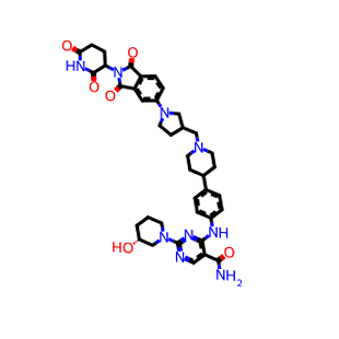 NC(=O)c1cnc(N2CCC[C@@H](O)C2)nc1Nc1ccc(C2CCN(CC3CCN(c4ccc5c(c4)C(=O)N(C4CCC(=O)NC4=O)C5=O)C3)CC2)cc1